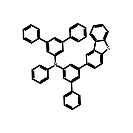 c1ccc(-c2cc(-c3ccccc3)cc(N(c3ccccc3)c3cc(-c4ccccc4)cc(-c4ccc5sc6ccccc6c5c4)c3)c2)cc1